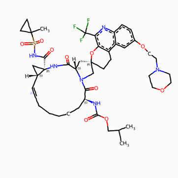 CC(C)COC(=O)N[C@H]1CCCCC/C=C\[C@@H]2C[C@@]2(C(=O)NS(=O)(=O)C2(C)CC2)NC(=O)[C@@H]2C[C@]3(CCc4c(c(C(F)(F)F)nc5ccc(OCCN6CCOCC6)cc45)O3)CN2C1=O